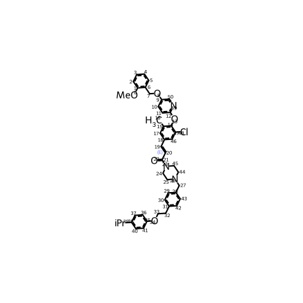 COc1ccccc1COc1ccc(Oc2c(C)cc(/C=C/C(=O)N3CCN(Cc4ccc(CCOc5ccc(C(C)C)cc5)cc4)CC3)cc2Cl)nc1